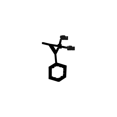 CC1=C(c2ccccc2)[Si]1(C(C)(C)C)C(C)(C)C